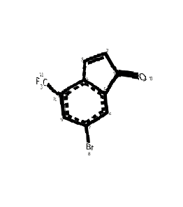 O=C1C=Cc2c1cc(Br)cc2C(F)(F)F